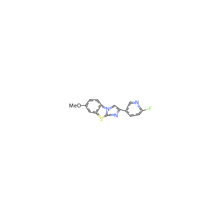 COc1ccc2c(c1)sc1nc(-c3ccc(F)nc3)cn12